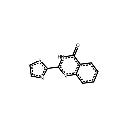 O=c1[nH]c(-c2nccs2)nc2ccccc12